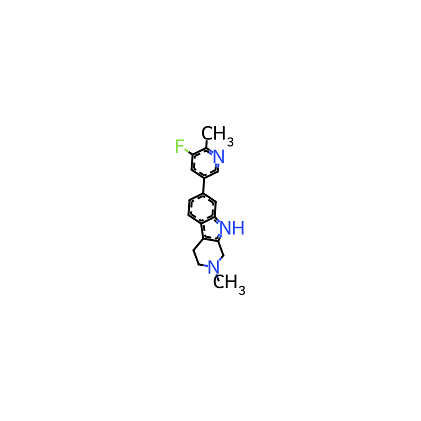 Cc1ncc(-c2ccc3c4c([nH]c3c2)CN(C)CC4)cc1F